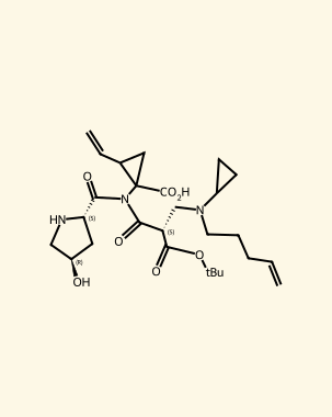 C=CCCCN(C[C@H](C(=O)OC(C)(C)C)C(=O)N(C(=O)[C@@H]1C[C@@H](O)CN1)C1(C(=O)O)CC1C=C)C1CC1